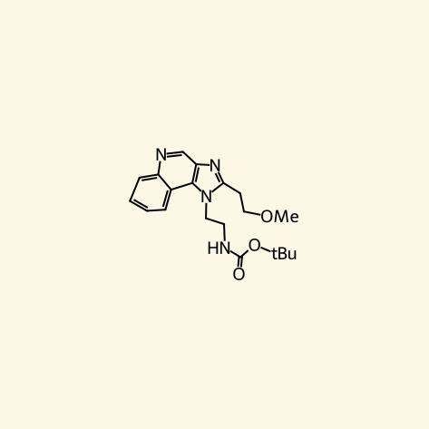 COCCc1nc2cnc3ccccc3c2n1CCNC(=O)OC(C)(C)C